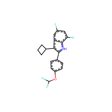 Fc1cc(F)c2[nH]c(-c3ccc(OC(F)F)cc3)c(C3CCC3)c2c1